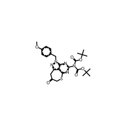 COc1ccc(Cn2nc3c4c(nc(N(C(=O)OC(C)(C)C)C(=O)OC(C)(C)C)nc42)SCC(=O)C3)cc1